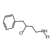 CCNCCC(Cl)Cc1ccccc1